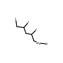 FCC(F)CC(F)[CH2][Mg][Br]